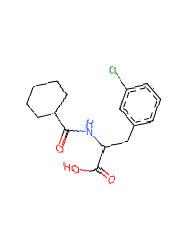 O=C(NC(Cc1cccc(Cl)c1)C(=O)O)C1CCCCC1